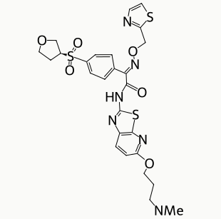 CNCCCOc1ccc2nc(NC(=O)/C(=N/OCc3nccs3)c3ccc(S(=O)(=O)[C@H]4CCOC4)cc3)sc2n1